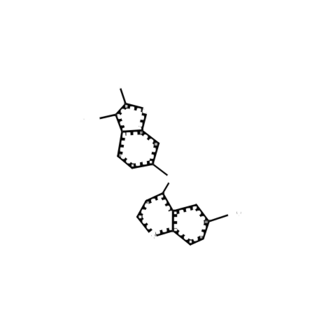 COc1ccc2nccc(Oc3ccc4c(C(=O)O)c(C)oc4c3)c2c1